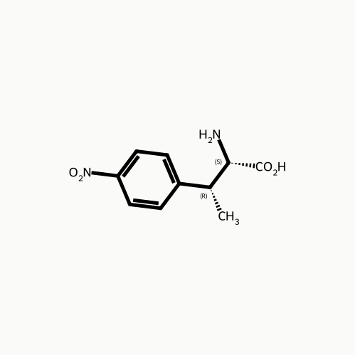 C[C@H](c1ccc([N+](=O)[O-])cc1)[C@H](N)C(=O)O